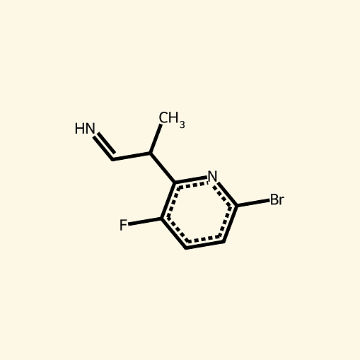 CC(C=N)c1nc(Br)ccc1F